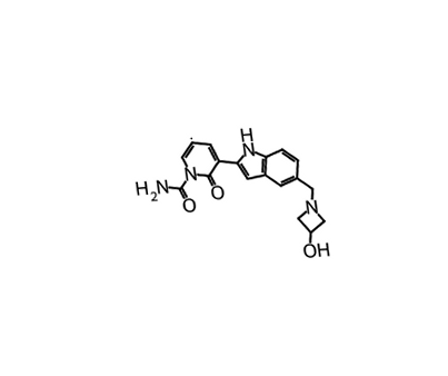 NC(=O)n1c[c]cc(-c2cc3cc(CN4CC(O)C4)ccc3[nH]2)c1=O